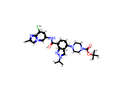 Cc1cn2cc(NC(=O)c3ccc(N4CCN(C(=O)OC(C)(C)C)CC4)c4cn(C(C)C)nc34)cc(F)c2n1